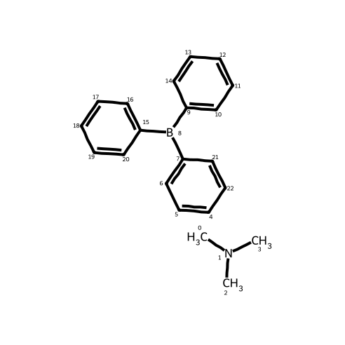 CN(C)C.c1ccc(B(c2ccccc2)c2ccccc2)cc1